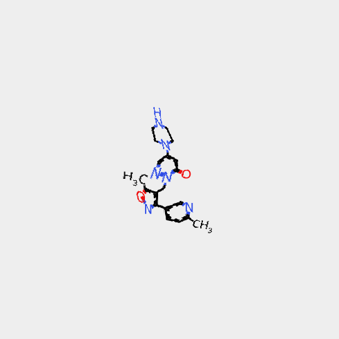 Cc1ccc(-c2noc(C)c2Cn2ncc(N3CCNCC3)cc2=O)cn1